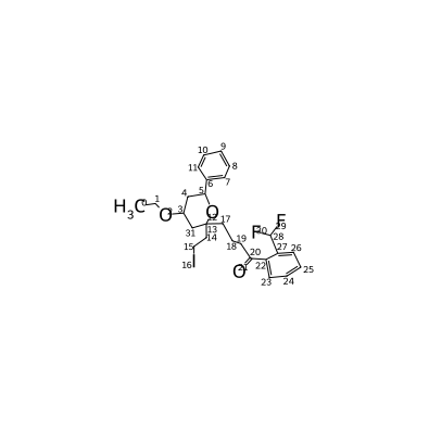 CCOC1CC(c2ccccc2)OC(CCI)(CCCC(=O)c2ccccc2C(F)F)C1